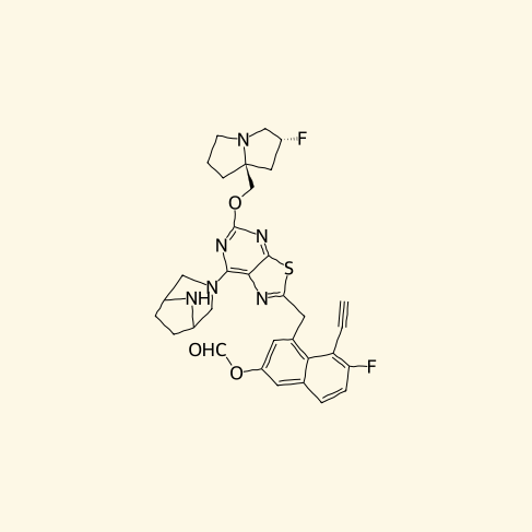 C#Cc1c(F)ccc2cc(OC=O)cc(Cc3nc4c(N5CC6CCC(C5)N6)nc(OC[C@@]56CCCN5C[C@H](F)C6)nc4s3)c12